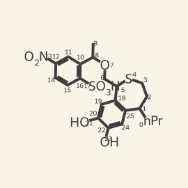 CCCC1CCSC(COC(C)c2cc([N+](=O)[O-])ccc2S(=O)(=O)O)c2cc(O)c(O)cc21